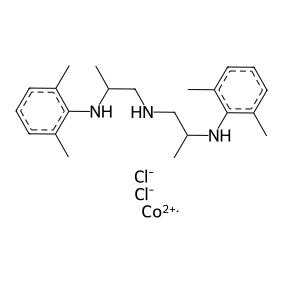 Cc1cccc(C)c1NC(C)CNCC(C)Nc1c(C)cccc1C.[Cl-].[Cl-].[Co+2]